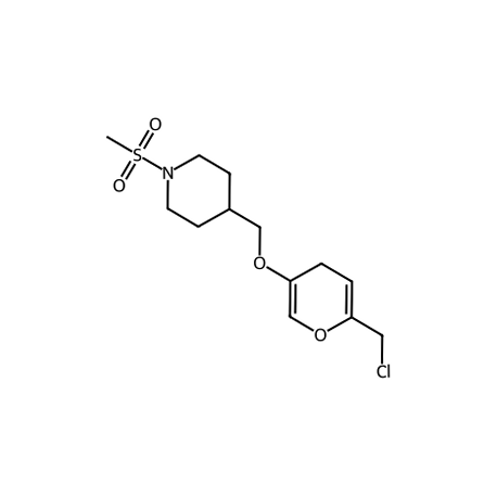 CS(=O)(=O)N1CCC(COC2=COC(CCl)=CC2)CC1